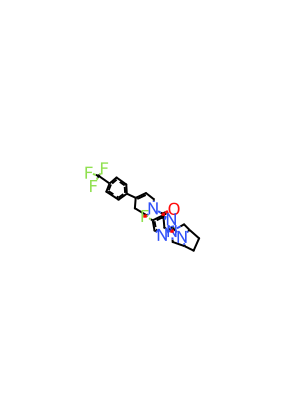 O=C(CN1CC2CCC(C1)N2c1ncc(F)cn1)N1CC=C(c2ccc(C(F)(F)F)cc2)CC1